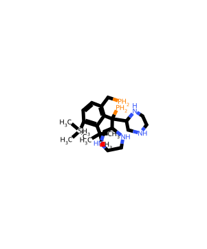 CC(C)(C)c1c([Si](C)(C)C)ccc(CP)c1C(P)(C1CNCCN1)C1CNCCN1